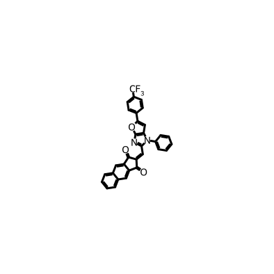 O=C1C(=Cc2nc3oc(-c4ccc(C(F)(F)F)cc4)cc3n2-c2ccccc2)C(=O)c2cc3ccccc3cc21